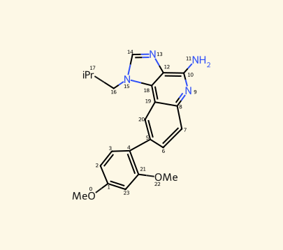 COc1ccc(-c2ccc3nc(N)c4ncn(CC(C)C)c4c3c2)c(OC)c1